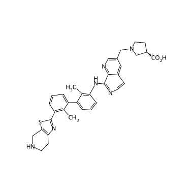 Cc1c(Nc2nccc3cc(CN4CC[C@@H](C(=O)O)C4)cnc23)cccc1-c1cccc(-c2nc3c(s2)CNCC3)c1C